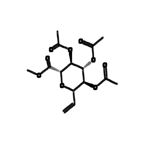 C=CC1O[C@H](C(=O)OC)[C@@H](OC(C)=O)[C@H](OC(C)=O)[C@H]1OC(C)=O